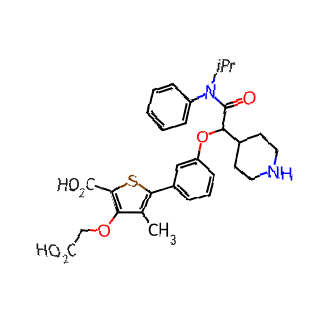 Cc1c(-c2cccc(OC(C(=O)N(c3ccccc3)C(C)C)C3CCNCC3)c2)sc(C(=O)O)c1OCC(=O)O